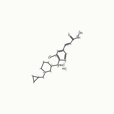 Cl.Cl.O=C(/C=C/c1cnc(NC2CCCN(CC3CC3)C2)c(Cl)c1)NO